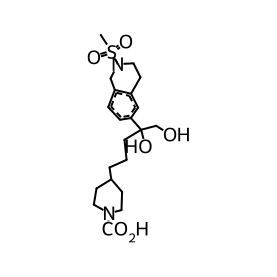 CS(=O)(=O)N1CCc2cc(C(O)(CO)CCCC3CCN(C(=O)O)CC3)ccc2C1